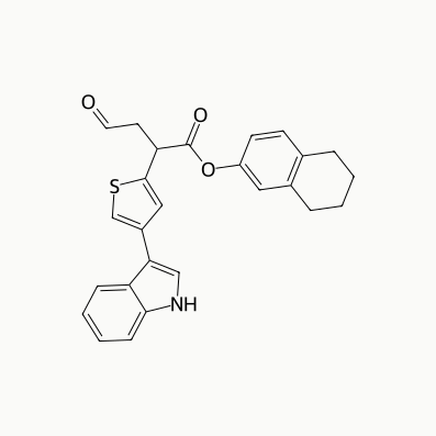 O=CCC(C(=O)Oc1ccc2c(c1)CCCC2)c1cc(-c2c[nH]c3ccccc23)cs1